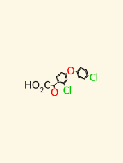 O=C(O)C(=O)c1ccc(Oc2ccc(Cl)cc2)cc1Cl